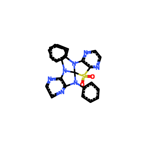 O=S1(=O)c2nccnc2N(c2ccccc2)C12N(C1=CC=CCC1)c1nccnc1N2c1ccccc1